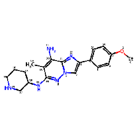 CCOc1ccc(-c2cn3nc(NC4CCCNC4)c(C)c(N)c3n2)cc1